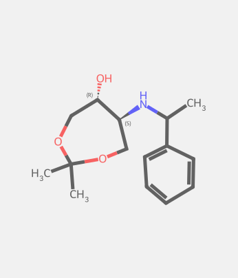 CC(N[C@H]1COC(C)(C)OC[C@@H]1O)c1ccccc1